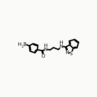 Bc1ccc(C(=O)NCCCNc2nsc3ccccc23)cc1